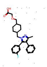 Cc1nn(CC2CCC(COCC(=O)O)CC2)c(-c2cccc(F)c2)c1-c1ccccc1